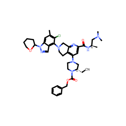 Cc1cc2c(cnn2C2CCCCO2)c(N2CCc3c(N4CCN(C(=O)OCc5ccccc5)[C@@H](CC#N)C4)cc(C(=O)N[C@H](C)CN(C)C)nc3C2)c1Cl